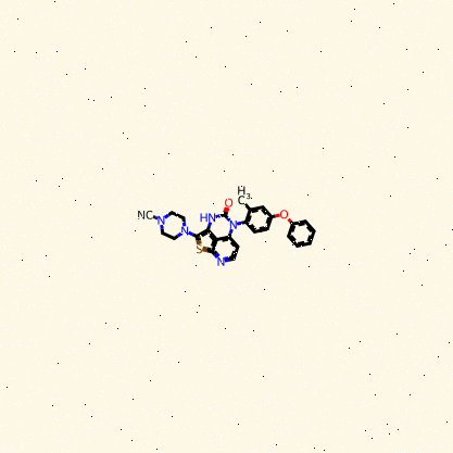 Cc1cc(Oc2ccccc2)ccc1N1C(=O)Nc2c(N3CCN(C#N)CC3)sc3nccc1c23